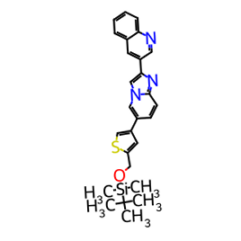 CC(C)(C)[Si](C)(C)OCc1cc(-c2ccc3nc(-c4cnc5ccccc5c4)cn3c2)cs1